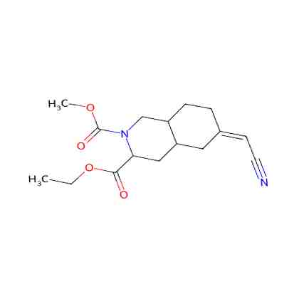 CCOC(=O)C1CC2CC(=CC#N)CCC2CN1C(=O)OC